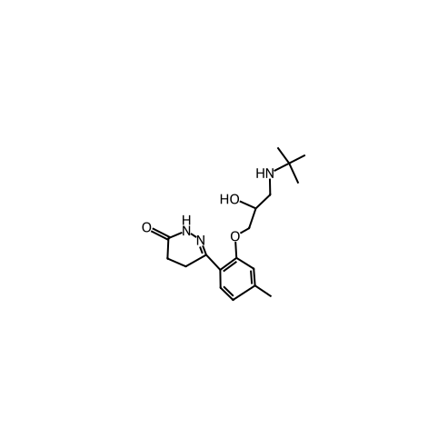 Cc1ccc(C2=NNC(=O)CC2)c(OCC(O)CNC(C)(C)C)c1